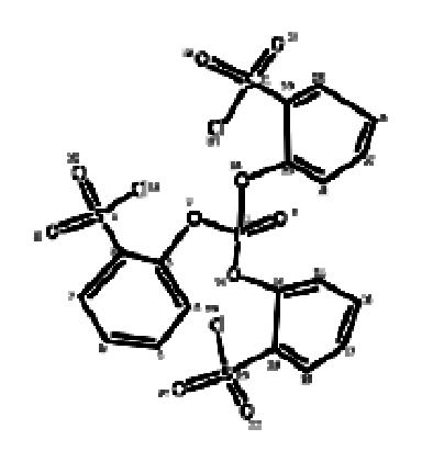 O=P(Oc1ccccc1S(=O)(=O)Cl)(Oc1ccccc1S(=O)(=O)Cl)Oc1ccccc1S(=O)(=O)Cl